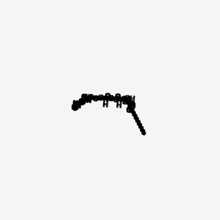 CCCCCCCCCCCCCCCCCC(=O)OCC(COP(=O)(O)OCCNC(=O)OCCOCC(=O)NCCOCCOCCOc1ncc(-c2ccc(-c3cnc4ccccc4n3)cc2)c(OC)n1)OC(C)=O